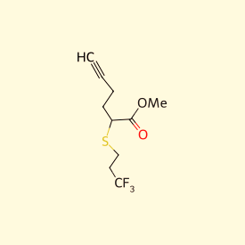 C#CCCC(SCCC(F)(F)F)C(=O)OC